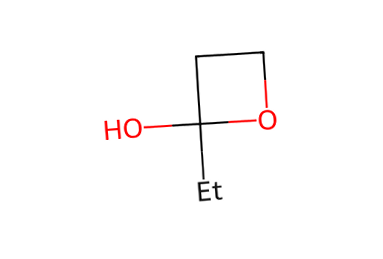 CCC1(O)CCO1